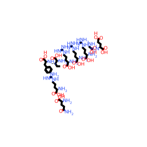 CC[C@H](C)[C@H](N)C(=O)O.N=C(N)NCCC[C@H](N)C(=O)O.N=C(N)NCCC[C@H](N)C(=O)O.N=C(N)NCCC[C@H](N)C(=O)O.N=C(N)NCCC[C@H](N)C(=O)O.NC(=O)CC[C@H](N)C(=O)O.NCC(=O)O.N[C@@H](CCC(=O)O)C(=O)O.N[C@@H](Cc1ccccc1)C(=O)O